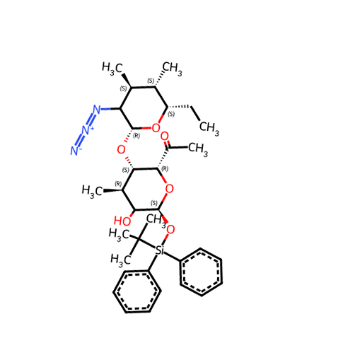 CC[C@@H]1O[C@H](O[C@H]2[C@H](C)C(O)[C@H](O[Si](c3ccccc3)(c3ccccc3)C(C)(C)C)O[C@H]2C(C)=O)C(N=[N+]=[N-])[C@@H](C)[C@@H]1C